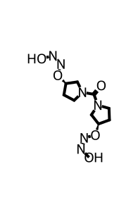 O=C(N1CC[C@@H](O/N=N\O)C1)N1CC[C@@H](O/N=N\O)C1